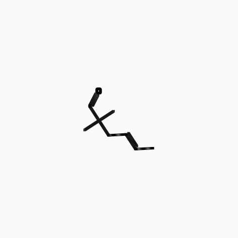 CC=CCC(C)(C)C=O